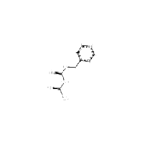 N=C(NCc1ccncc1)NC(N)=O